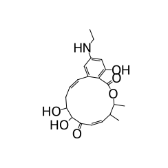 CCNc1cc(O)c2c(c1)C=CCC(O)C(O)C(=O)C=CC(C)C(C)OC2=O